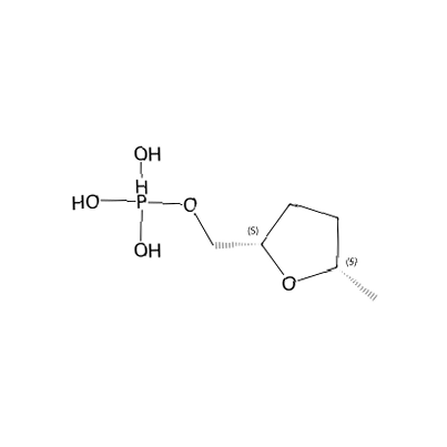 C[C@H]1CC[C@@H](CO[PH](O)(O)O)O1